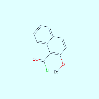 CCOc1ccc2ccccc2c1C(=O)Cl